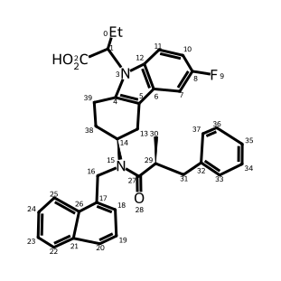 CCC(C(=O)O)n1c2c(c3cc(F)ccc31)C[C@@H](N(Cc1cccc3ccccc13)C(=O)[C@@H](C)Cc1ccccc1)CC2